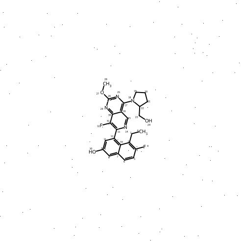 CCc1c(F)ccc2cc(O)cc(-c3ncc4c(N5CCCC5CO)nc(OC)nc4c3F)c12